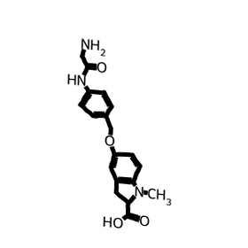 CN1c2ccc(OCc3ccc(NC(=O)CN)cc3)cc2CC1C(=O)O